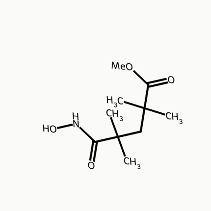 COC(=O)C(C)(C)CC(C)(C)C(=O)NO